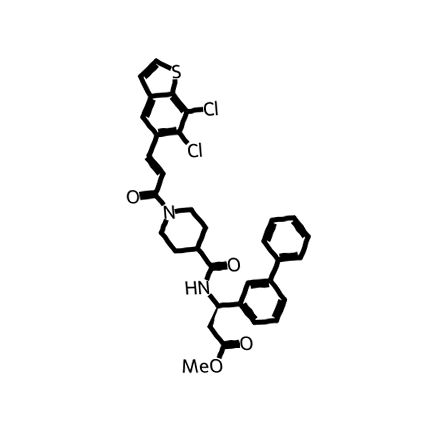 COC(=O)C[C@@H](NC(=O)C1CCN(C(=O)/C=C/c2cc3ccsc3c(Cl)c2Cl)CC1)c1cccc(-c2ccccc2)c1